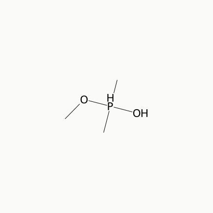 CO[PH](C)(C)O